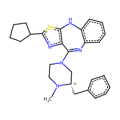 CN1CCN(C2=Nc3ccccc3Nc3sc(C4CCCC4)nc32)C[C@@H]1Cc1ccccc1